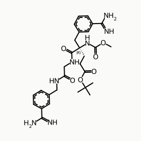 COC(=O)N[C@](CCC(=O)OC(C)(C)C)(Cc1cccc(C(=N)N)c1)C(=O)NCC(=O)NCc1cccc(C(=N)N)c1